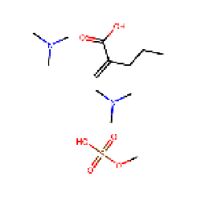 C=C(CCC)C(=O)O.CN(C)C.CN(C)C.COS(=O)(=O)O